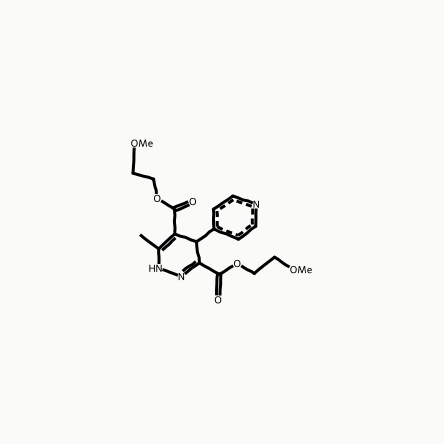 COCCOC(=O)C1=NNC(C)=C(C(=O)OCCOC)C1c1ccncc1